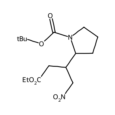 CCOC(=O)CC(C[N+](=O)[O-])C1CCCN1C(=O)OC(C)(C)C